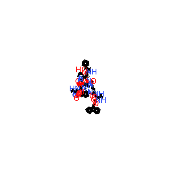 CC[C@@H](C)[C@@H]([C@@H](CC(=O)N1CCC[C@H]1[C@H](OC)[C@@H](C)C(=O)N[C@H](C)[C@@H](O)c1ccccc1)OC)N(C)C(=O)[C@@H](NC(=O)[C@H](C(C)C)N(C)C(=O)OCc1ccc(NC(=O)[C@H](CCCNC(N)=O)NC(=O)[C@@H](NC(=O)OCC2c3ccccc3-c3ccccc32)C(C)C)cc1)C(C)C